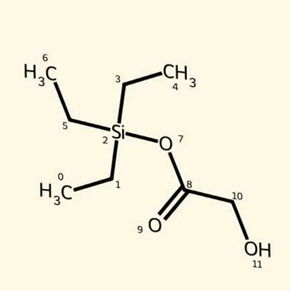 CC[Si](CC)(CC)OC(=O)CO